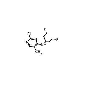 Cc1cnc(Cl)nc1NC(CCF)CCF